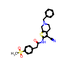 CS(=O)(=O)c1ccc(CC(=O)Nc2sc3c(c2C#N)CCN(Cc2ccccc2)C3)cc1